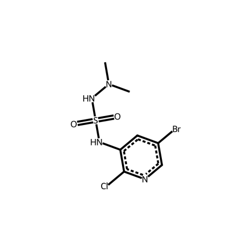 CN(C)NS(=O)(=O)Nc1cc(Br)cnc1Cl